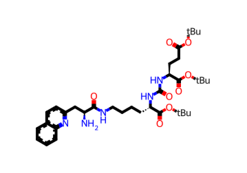 CC(C)(C)OC(=O)CC[C@H](NC(=O)N[C@@H](CCCCNC(=O)[C@@H](N)Cc1ccc2ccccc2n1)C(=O)OC(C)(C)C)C(=O)OC(C)(C)C